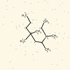 CCCC(C)(C)CC(C)N(C)CC